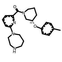 Cc1ccc(O[C@H]2CCCN(C(=O)c3cccc(N4CCCNCC4)n3)C2)cc1